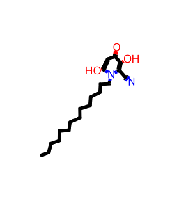 CCCCCCCCCCCCCCn1c(O)cc(=O)c(O)c1C#N